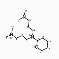 CN(C)CCCN(CCCN(C)C)C1CCCCO1